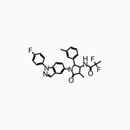 Cc1cccc(C2C(NC(=O)C(C)(F)F)C(C)C(=O)N2c2ccc3c(cnn3-c3ccc(F)cc3)c2)c1